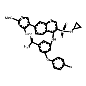 COc1ncc(-c2ccc3c(Nc4cc(Oc5ccc(F)cc5)cc(C(N)=O)c4)c(S(=O)(=O)NC4CC4)cnc3c2)c(OC)n1